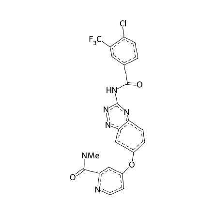 CNC(=O)c1cc(Oc2ccc3nc(NC(=O)c4ccc(Cl)c(C(F)(F)F)c4)nnc3c2)ccn1